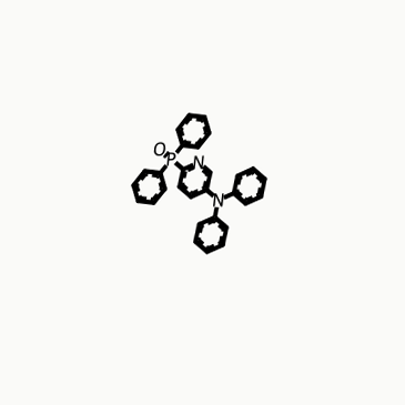 O=P(c1ccccc1)(c1ccccc1)c1ccc(N(c2ccccc2)c2ccccc2)cn1